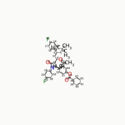 C[SiH](C)OC(/C=C(\CC(C)(C)C)c1ccc(F)cc1)[C@@H]1C(=O)N(c2ccc(F)cc2)[C@@H]1c1ccc(OC(=O)c2ccccc2)cc1